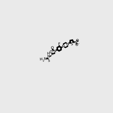 NC(=S)NC[C@H]1CN(c2ccc(N3CCN(c4ccc([N+](=O)[O-])s4)CC3)c(F)c2)C(=O)O1